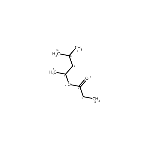 CCC(=O)OC(C)CC(C)C